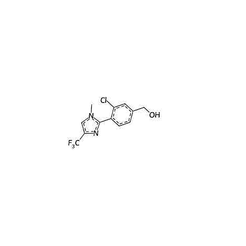 Cn1cc(C(F)(F)F)nc1-c1ccc(CO)cc1Cl